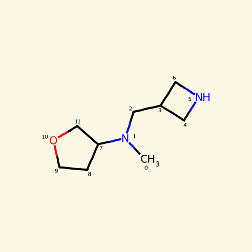 CN(CC1CNC1)C1CCOC1